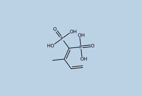 C=CC(C)=C(P(=O)(O)O)P(=O)(O)O